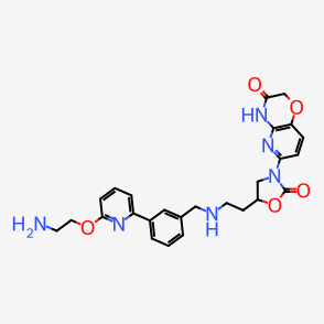 NCCOc1cccc(-c2cccc(CNCCC3CN(c4ccc5c(n4)NC(=O)CO5)C(=O)O3)c2)n1